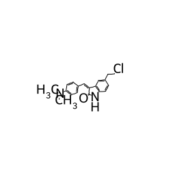 CN(C)c1ccc(C=C2C(=O)Nc3ccc(CCCl)cc32)cc1